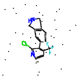 FC(F)(F)c1ccnc(Cl)c1-c1ccc2c(c1)CNC2